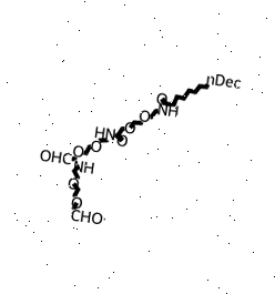 CCCCCCCCCCCCCCCCCC(=O)NCCOCCOCC(=O)NCCOCCOC(C=O)NCCOCCOC[C]=O